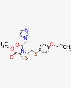 C=CCOc1ccc(SCC2SCC(C(=O)OCC)N2C(=O)Cn2ccnc2)cc1